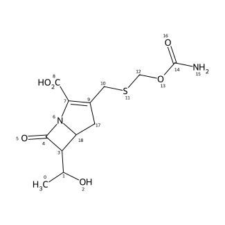 CC(O)C1C(=O)N2C(C(=O)O)=C(CSCOC(N)=O)CC12